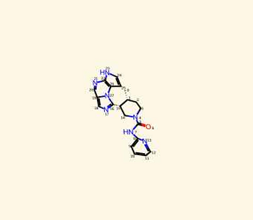 C[C@@H]1CCN(C(=O)Nc2ccccn2)C[C@@H]1c1ncc2cnc3[nH]ccc3n12